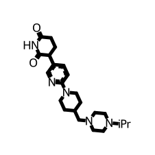 CC(C)N1CCN(CC2CCN(c3ccc(C4CCC(=O)NC4=O)cn3)CC2)CC1